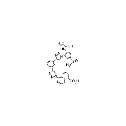 CC(O)Nc1ccc([S+](C)[O-])cc1-n1cc(-c2cccc(-c3cn(-c4cccc5c(C(=O)O)cccc45)nn3)c2)nn1